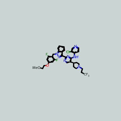 COCCOc1cc(F)c(Cn2nc(-c3ncc(C4CCN(CCC(F)(F)F)CC4)c(Nc4ccncc4Cl)n3)c3ccccc32)c(F)c1